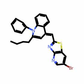 CCCCC1=C/C(=C\c2nc3ncc(Br)cc3s2)c2ccccc2N1c1ccccc1